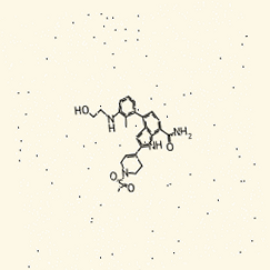 Cc1c(NCCO)cccc1-c1ccc(C(N)=O)c2[nH]c(C3=CCN(S(C)(=O)=O)CC3)cc12